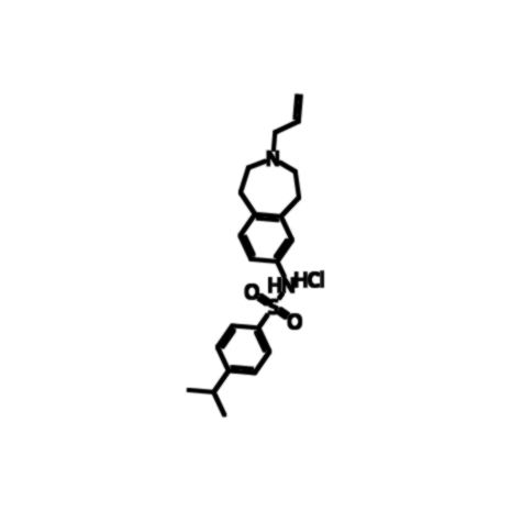 C=CCN1CCc2ccc(NS(=O)(=O)c3ccc(C(C)C)cc3)cc2CC1.Cl